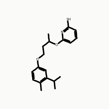 Cc1ccc(OCCC(C)Oc2cccc(S)n2)cc1C(C)C